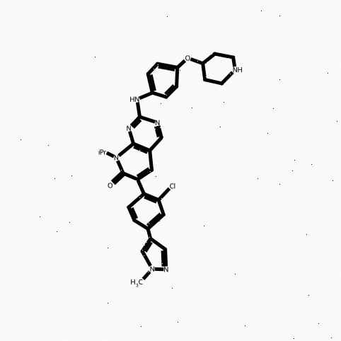 CC(C)n1c(=O)c(-c2ccc(-c3cnn(C)c3)cc2Cl)cc2cnc(Nc3ccc(OC4CCNCC4)cc3)nc21